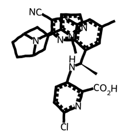 Cc1cc([C@@H](C)Nc2ccc(Cl)nc2C(=O)O)c2nc(N3C4CCC3CC(c3ccnn3C)C4)c(C#N)nc2c1